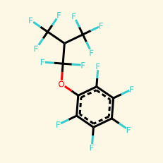 Fc1c(F)c(F)c(OC(F)(F)C(C(F)(F)F)C(F)(F)F)c(F)c1F